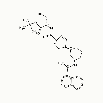 C[C@@H](NC1CCC[C@H](C2C=CC(C(=O)N[C@@H](CO)C(=O)OC(C)(C)C)=CC2)C1)c1cccc2ccccc12